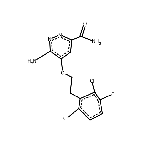 NC(=O)c1cc(OCCc2c(Cl)ccc(F)c2Cl)c(N)nn1